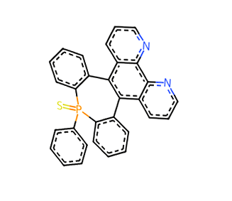 S=P1(c2ccccc2)c2ccccc2-c2c(c3cccnc3c3ncccc23)-c2ccccc21